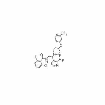 O=C(NCC(c1scnc1C(F)F)N1CCC(Oc2ccnc(C(F)(F)F)c2)CC1)c1c(F)cccc1Cl